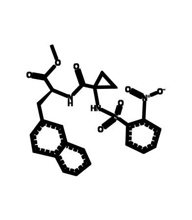 COC(=O)[C@H](Cc1ccc2ccccc2c1)NC(=O)C1(NS(=O)(=O)c2ccccc2[N+](=O)[O-])CC1